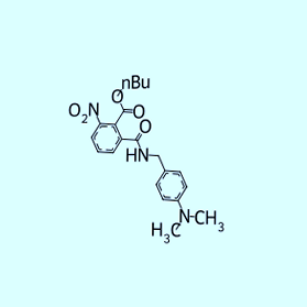 CCCCOC(=O)c1c(C(=O)NCc2ccc(N(C)C)cc2)cccc1[N+](=O)[O-]